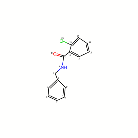 O=C(NCc1ccccc1)c1ccccc1Cl